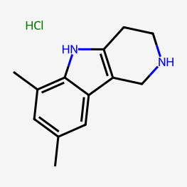 Cc1cc(C)c2[nH]c3c(c2c1)CNCC3.Cl